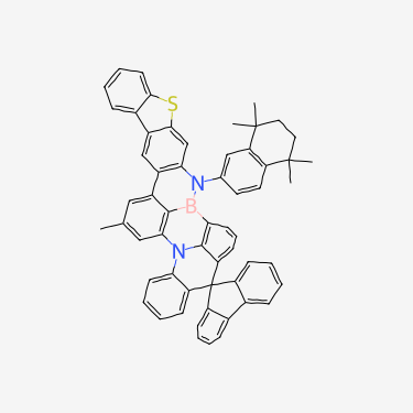 Cc1cc2c3c(c1)N1c4ccccc4C4(c5ccccc5-c5ccccc54)c4cccc(c41)B3N(c1ccc3c(c1)C(C)(C)CCC3(C)C)c1cc3sc4ccccc4c3cc1-2